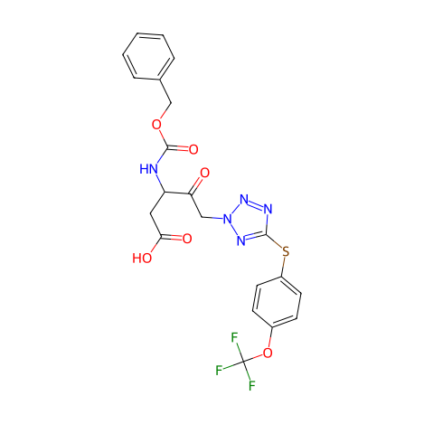 O=C(O)CC(NC(=O)OCc1ccccc1)C(=O)Cn1nnc(Sc2ccc(OC(F)(F)F)cc2)n1